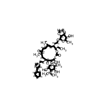 CC[C@H]1OC(=O)C[C@@H](O)[C@H](C)[C@@H](O[C@@H]2O[C@H](C)[C@@H](O)C(N(C)C)C2O)[C@@H](CCn2cc(-c3ccccc3)nn2)C[C@@H](C)C(=O)/C=C/C(C)=C/[C@@H]1CCO[C@@H]1OC(C)[C@@H](O)[C@H](OC)C1OC